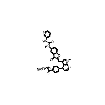 CONC(=O)c1ccc(-c2ccnc3c2c(/C=C2\Oc4ccc(NC(=O)Nc5cccnc5)cc4C2=O)cn3C)cc1